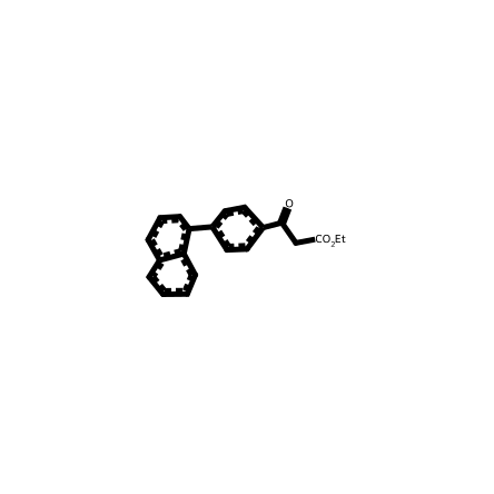 CCOC(=O)CC(=O)c1ccc(-c2cccc3ccccc23)cc1